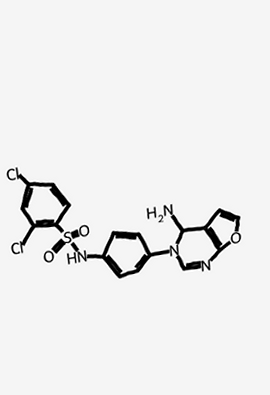 NC1c2ccoc2N=CN1c1ccc(NS(=O)(=O)c2ccc(Cl)cc2Cl)cc1